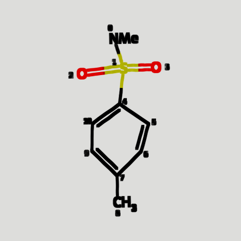 [CH2-][NH2+]S(=O)(=O)c1ccc(C)cc1